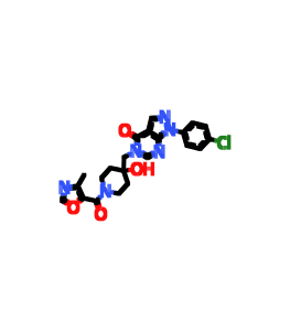 Cc1ncoc1C(=O)N1CCC(O)(Cn2cnc3c(cnn3-c3ccc(Cl)cc3)c2=O)CC1